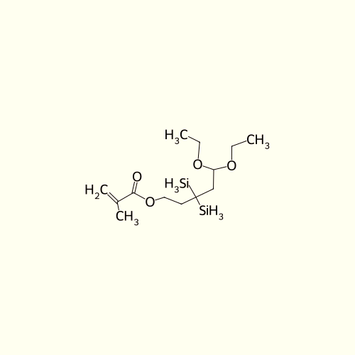 C=C(C)C(=O)OCCC([SiH3])([SiH3])CC(OCC)OCC